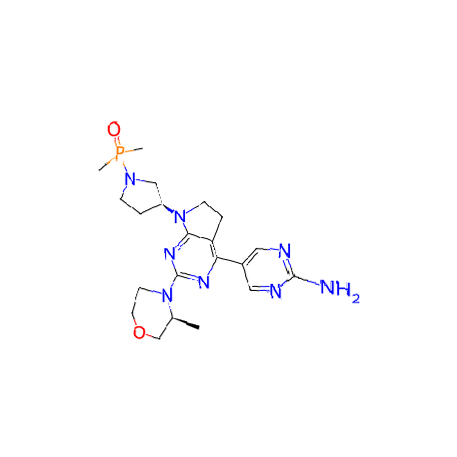 C[C@H]1COCCN1c1nc(-c2cnc(N)nc2)c2c(n1)N([C@H]1CCN(P(C)(C)=O)C1)CC2